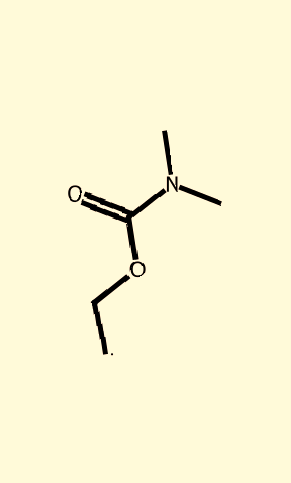 [CH2]COC(=O)N(C)C